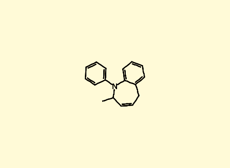 CC1C=CCc2ccccc2N1c1ccccc1